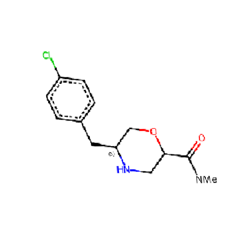 CNC(=O)C1CN[C@@H](Cc2ccc(Cl)cc2)CO1